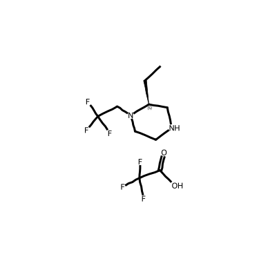 CC[C@H]1CNCCN1CC(F)(F)F.O=C(O)C(F)(F)F